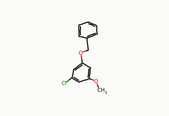 COc1cc(Cl)cc(OCc2ccccc2)c1